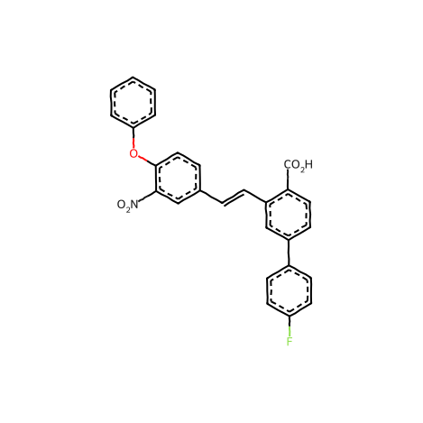 O=C(O)c1ccc(-c2ccc(F)cc2)cc1C=Cc1ccc(Oc2ccccc2)c([N+](=O)[O-])c1